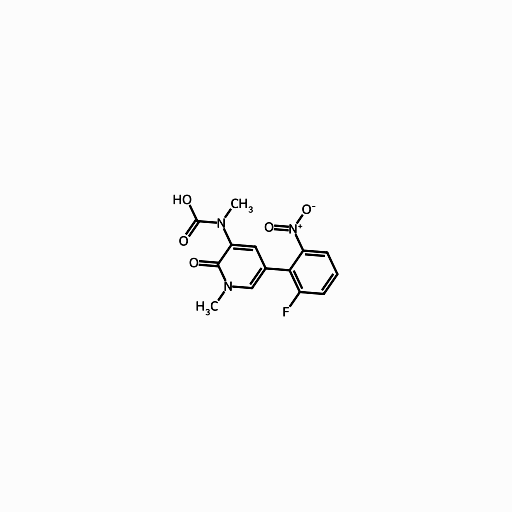 CN(C(=O)O)c1cc(-c2c(F)cccc2[N+](=O)[O-])cn(C)c1=O